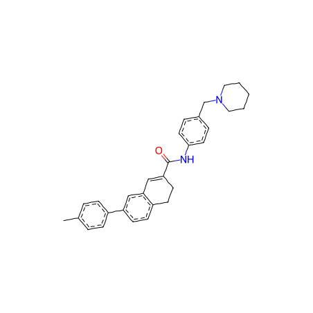 Cc1ccc(-c2ccc3c(c2)C=C(C(=O)Nc2ccc(CN4CCCCC4)cc2)CC3)cc1